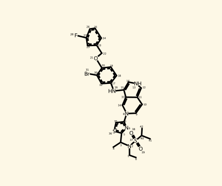 CCN(C(C)c1nc(N2C=CC3=CNC=C(Nc4ccc(OCc5cccc(F)c5)c(Br)c4)C3=C2)cs1)S(=O)(=O)C(C)C